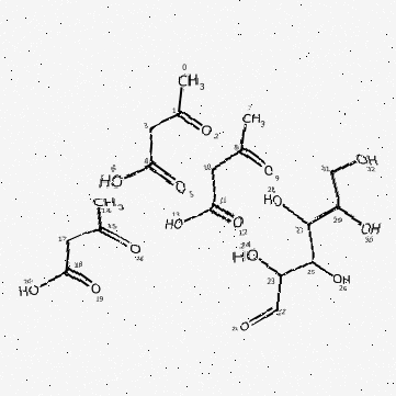 CC(=O)CC(=O)O.CC(=O)CC(=O)O.CC(=O)CC(=O)O.O=CC(O)C(O)C(O)C(O)CO